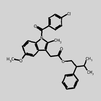 COc1ccc2c(c1)c(CC(=O)OCC(c1ccccc1)C(C)C)c(C)n2C(=O)c1ccc(Cl)cc1